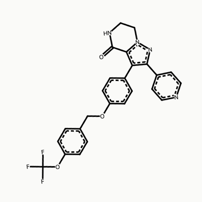 O=C1NCCn2nc(-c3ccncc3)c(-c3ccc(OCc4ccc(OC(F)(F)F)cc4)cc3)c21